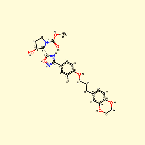 Cc1cc(-c2noc([C@@H]3[C@@H](O)CCN3C(=O)OC(C)(C)C)n2)ccc1OCCCc1ccc2c(c1)OCCO2